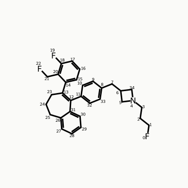 FCCCN1CC(Cc2ccc(C3=C(c4cccc(F)c4CF)CCCc4ccccc43)cc2)C1